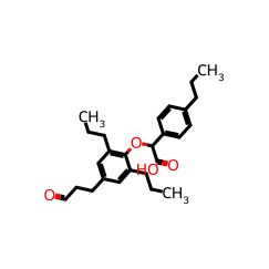 CCCc1ccc(C(Oc2c(CCC)cc(CCC=O)cc2CCC)C(=O)O)cc1